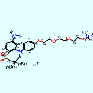 CCCCC1(CCCC)CN(c2ccc(OCCOCCOCCO[N+](CC)(CC)CC)cc2)c2cc(N(C)C)ccc2S(=O)(=O)C1.[I-]